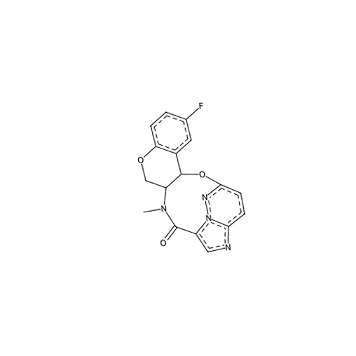 CN1C(=O)c2cnc3ccc(nn23)OC2c3cc(F)ccc3OCC21